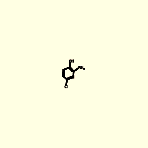 Nc1nc(Cl)ccc1O